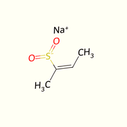 CC=C(C)[S-](=O)=O.[Na+]